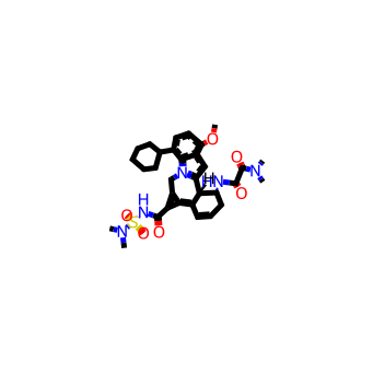 COc1ccc(C2CCCCC2)c2c1cc1n2CC2=C(C(=O)NS(=O)(=O)N(C)C)C2=C2C=CC[C@@H](NC(=O)C(=O)N(C)C)[C@H]21